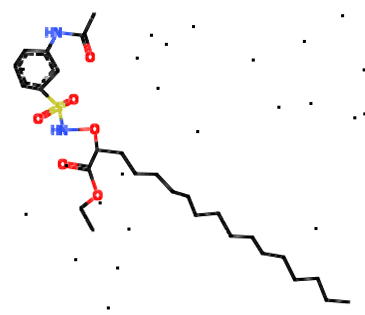 CCCCCCCCCCCCCCCC(ONS(=O)(=O)c1cccc(NC(C)=O)c1)C(=O)OCC